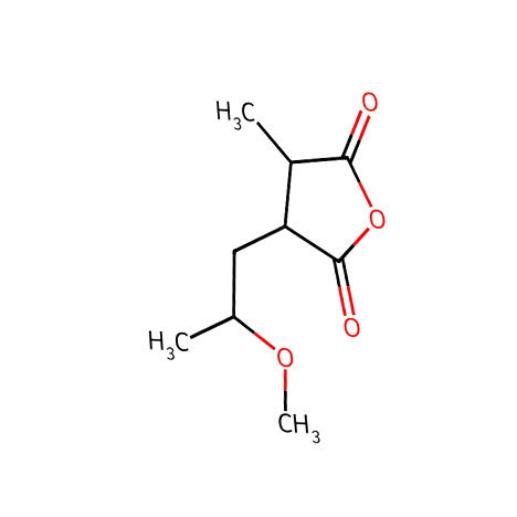 COC(C)CC1C(=O)OC(=O)C1C